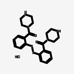 Cl.O=C(c1ccccc1SSc1ccccc1C(=O)N1CCNCC1)N1CCNCC1